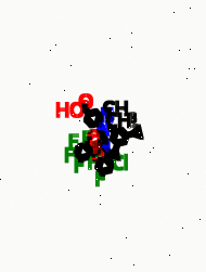 CN(C)c1cc(C(=O)O)ccc1N(Cc1cc(C2CC2)cc(C2CC2)c1)C(=O)CN(Cc1ccc(F)cc1Cl)S(=O)(=O)c1c(F)c(F)c(F)c(F)c1F